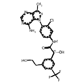 Cc1nn(-c2ccc(NC(=O)[C@H](O)c3cc(CCO)cc(C(F)(F)F)c3)cc2Cl)c2c(N)ncnc12